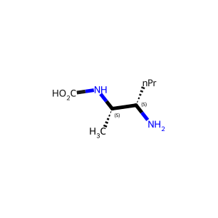 CCC[C@H](N)[C@H](C)NC(=O)O